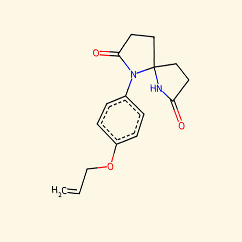 C=CCOc1ccc(N2C(=O)CCC23CCC(=O)N3)cc1